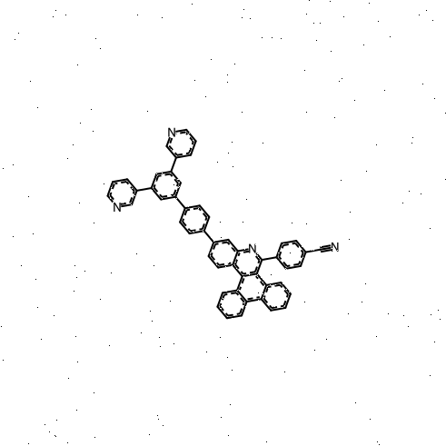 N#Cc1ccc(-c2nc3cc(-c4ccc(-c5cc(-c6cccnc6)cc(-c6cccnc6)c5)cc4)ccc3c3c4ccccc4c4ccccc4c23)cc1